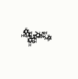 Cc1cc(C(=N)NCCc2cccs2)cc2[nH]c(-c3c(N[C@H](CO)Cc4ccccc4)cc[nH]c3=O)nc12